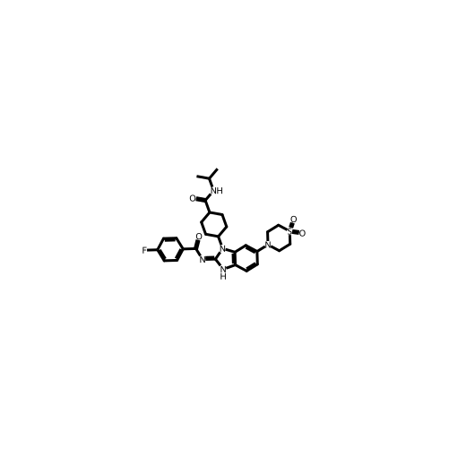 CC(C)NC(=O)C1CCC(n2/c(=N\C(=O)c3ccc(F)cc3)[nH]c3ccc(N4CCS(=O)(=O)CC4)cc32)CC1